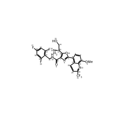 COc1ccc(-c2nc(C(=O)NCc3c(F)cc(F)cc3F)c([C@@H](N)CO)o2)c2ccc(C(F)(F)F)nc12